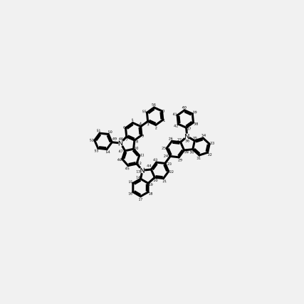 c1ccc(-c2ccc3c(c2)c2cc(-n4c5ccccc5c5ccc(-c6ccc7c(c6)c6ccccc6n7-c6ccccc6)cc54)ccc2n3-c2ccccc2)cc1